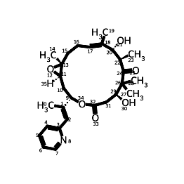 CC(=Cc1ccccn1)[C@@H]1C[C@H]2O[C@]2(C)CC/C=C(\C)[C@H](O)[C@@H](C)C(=O)C(C)(C)[C@@H](O)CC(=O)O1